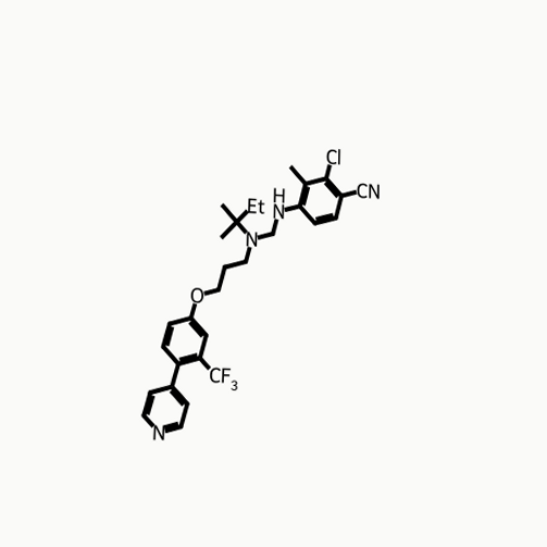 CCC(C)(C)N(CCCOc1ccc(-c2ccncc2)c(C(F)(F)F)c1)CNc1ccc(C#N)c(Cl)c1C